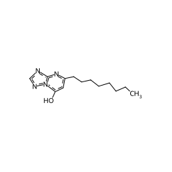 CCCCCCCCc1cc(O)n2ncnc2n1